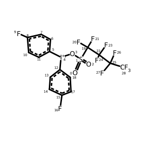 O=S(=O)(O[I+](c1ccc(F)cc1)c1ccc(F)cc1)C(F)(F)C(F)(F)C(F)(F)C(F)(F)F